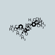 CCn1c(=O)c2cnc(Nc3ccc4c(c3)C(C)(C)NC4(C)C)nc2n1-c1cccc(C(C)(C)C)n1